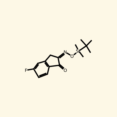 CC(C)(C)[Si](C)(C)O/N=C1/Cc2cc(F)ccc2C1=O